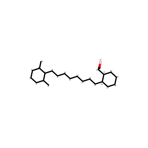 CC1CCCC(C)C1CCCCCCCCC1CCCCC1C=O